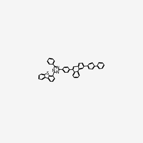 c1ccc(-c2ccc(-c3ccc4cc(-c5ccc(-c6nc(-c7ccccc7)nc(-c7cccc8c7sc7ccccc78)n6)cc5)c5ccccc5c4c3)cc2)cc1